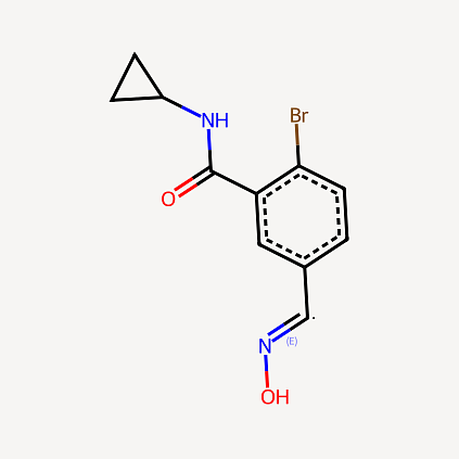 O=C(NC1CC1)c1cc(/[C]=N/O)ccc1Br